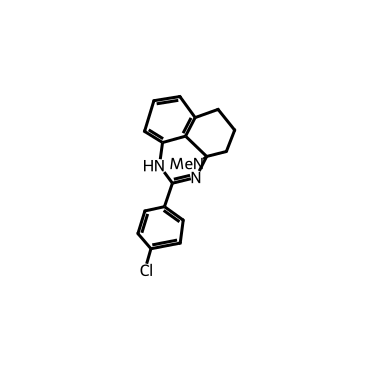 CNC12CCCc3cccc(c31)NC(c1ccc(Cl)cc1)=N2